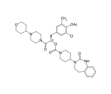 CC(=O)Oc1c(C)cc(C[C@@H](OC(=O)N2CCC(N3CCc4ccccc4NC3=O)CC2)C(=O)N2CCN(C3CCOCC3)CC2)cc1Cl